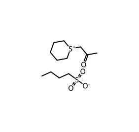 CC(=O)C[S+]1CCCCC1.CCCCS(=O)(=O)[O-]